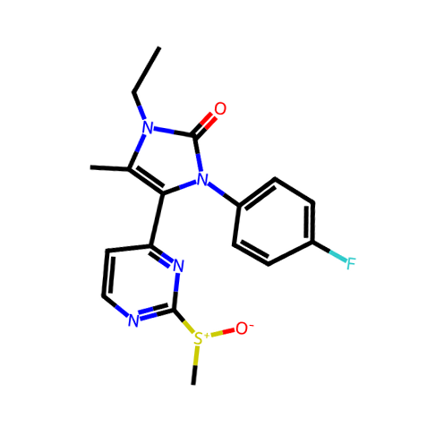 CCn1c(C)c(-c2ccnc([S+](C)[O-])n2)n(-c2ccc(F)cc2)c1=O